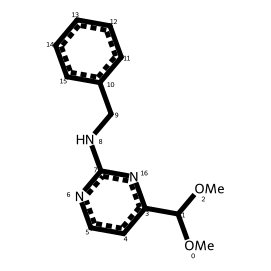 COC(OC)c1ccnc(NCc2ccccc2)n1